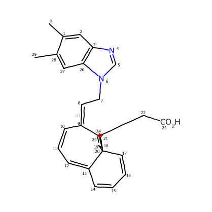 Cc1cc2ncn(C/C=C3/C=CC=C4C=CC=CC45CC=C(CC(=O)O)C=C35)c2cc1C